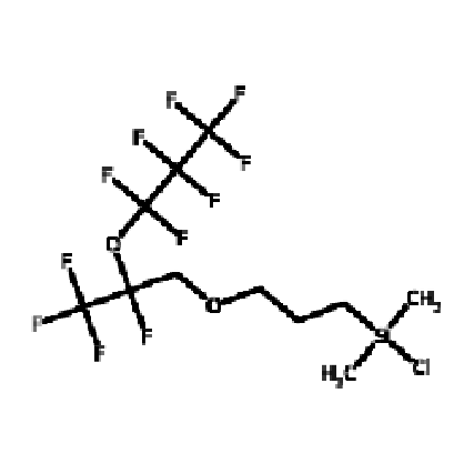 C[Si](C)(Cl)CCCOCC(F)(OC(F)(F)C(F)(F)C(F)(F)F)C(F)(F)F